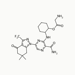 CC1(C)CC(=O)c2c(C(F)(F)F)nn(-c3cnc(C(N)=O)c(NC4CCCCC4OC(=O)CN)n3)c2C1